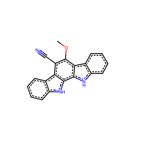 COc1c(C#N)c2c3ccccc3[nH]c2c2[nH]c3ccccc3c12